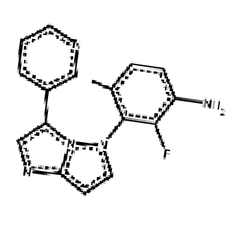 Cc1ccc(N)c(F)c1-n1ccc2ncc(-c3cccnc3)n21